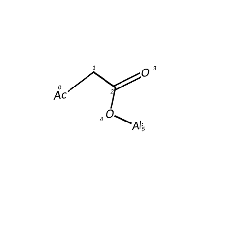 CC(=O)CC(=O)[O][Al]